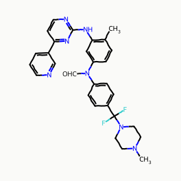 Cc1ccc(N(C=O)c2ccc(C(F)(F)N3CCN(C)CC3)cc2)cc1Nc1nccc(-c2cccnc2)n1